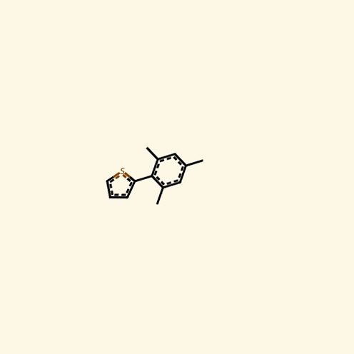 Cc1cc(C)c(-c2cccs2)c(C)c1